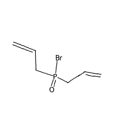 C=CCP(=O)(Br)CC=C